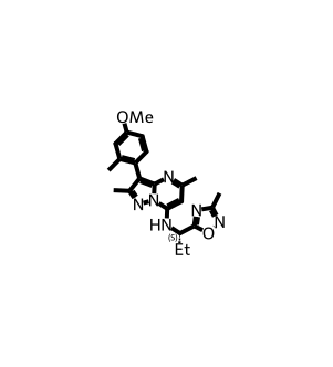 CC[C@H](Nc1cc(C)nc2c(-c3ccc(OC)cc3C)c(C)nn12)c1nc(C)no1